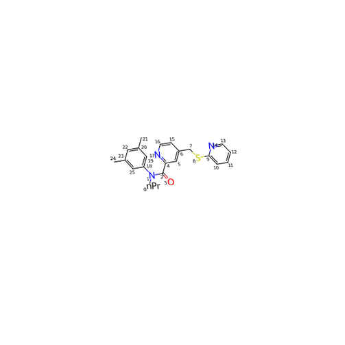 CCCN(C(=O)c1cc(CSc2ccccn2)ccn1)c1cc(C)cc(C)c1